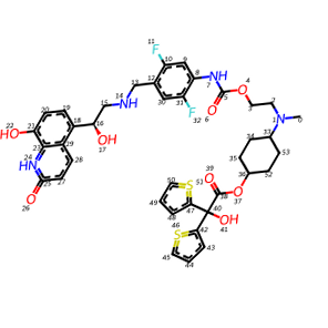 CN(CCOC(=O)Nc1cc(F)c(CNC[C@@H](O)c2ccc(O)c3[nH]c(=O)ccc23)cc1F)C1CCC(OC(=O)C(O)(c2cccs2)c2cccs2)CC1